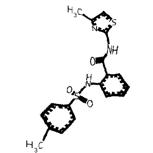 Cc1ccc(S(=O)(=O)Nc2ccccc2C(=O)Nc2nc(C)cs2)cc1